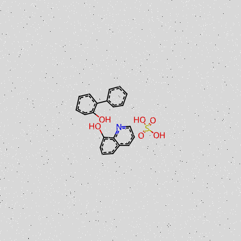 O=S(=O)(O)O.Oc1cccc2cccnc12.Oc1ccccc1-c1ccccc1